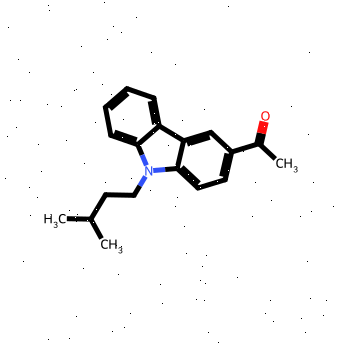 CC(=O)c1ccc2c(c1)c1ccccc1n2CCC(C)C